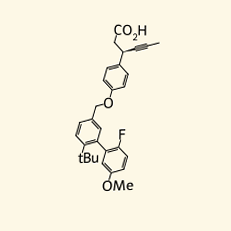 CC#C[C@H](CC(=O)O)c1ccc(OCc2ccc(C(C)(C)C)c(-c3cc(OC)ccc3F)c2)cc1